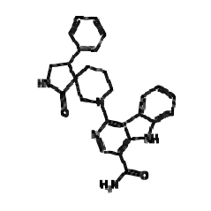 NC(=O)c1cnc(N2CCCC3(C2)C(=O)NCC3c2ccccc2)c2c1[nH]c1ccccc12